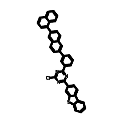 Clc1nc(-c2cccc(-c3ccc4cc(-c5cccc6ccccc56)ccc4c3)c2)nc(-c2ccc3c(c2)sc2ccccc23)n1